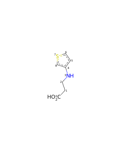 O=C(O)CCNc1ccsc1